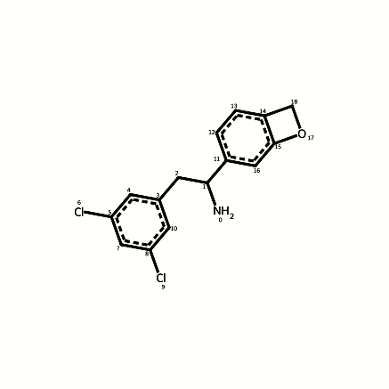 NC(Cc1cc(Cl)cc(Cl)c1)c1ccc2c(c1)OC2